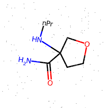 CCCNC1(C(N)=O)CCOC1